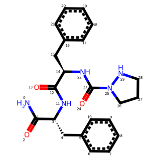 NC(=O)[C@@H](Cc1ccccc1)NC(=O)[C@@H](Cc1ccccc1)NC(=O)N1CCCN1